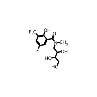 CN(CC(O)C(O)CO)C(=O)c1cc(F)cc(C(F)(F)F)c1O